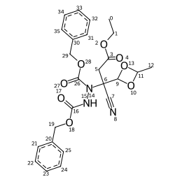 CCOC(=O)CC(C#N)(C1OC(C)O1)N(NC(=O)OCc1ccccc1)C(=O)OCc1ccccc1